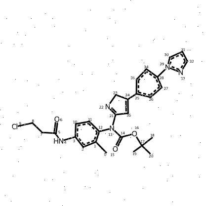 Cc1cc(NC(=O)CCCl)ccc1N(C(=O)OC(C)(C)C)C1=NCC(c2ccc(-n3cccn3)cc2)=C1